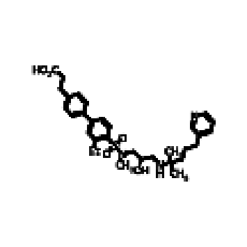 CCc1cc(-c2ccc(CCC(=O)O)cc2)ccc1S(=O)(=O)N(C)C[C@H](O)CNC(C)(C)CCCc1cccnc1